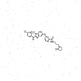 Cn1c(Nc2ccc(Cl)cc2)nc2cc(Oc3ccnc(C(=O)NCCCN4CCCC4=O)c3)ccc21